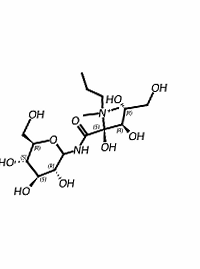 CCC[N+](C)(C)[C@@](O)(C(=O)NC1O[C@H](CO)[C@@H](O)[C@H](O)[C@H]1O)[C@H](O)[C@H](O)CO